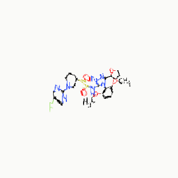 COc1cccc(OC)c1-n1c(NS(=O)(=O)C2CCCN(c3ncc(F)cn3)C2)nnc1C1CCCO1